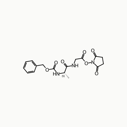 C[C@H](NC(=O)OCc1ccccc1)C(=O)NCC(=O)ON1C(=O)CCC1=O